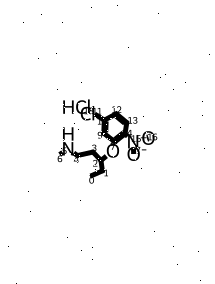 CCC(CCNC)Oc1cc(Cl)ccc1[N+](=O)[O-].Cl